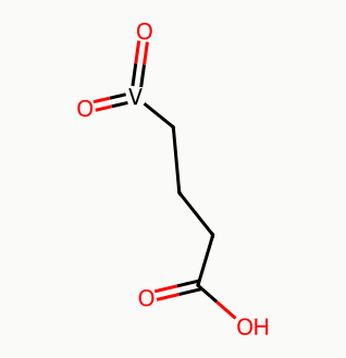 O=C(O)CC[CH2][V](=[O])=[O]